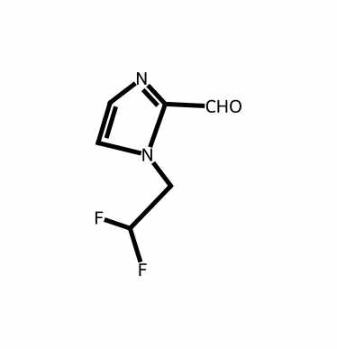 O=Cc1nccn1CC(F)F